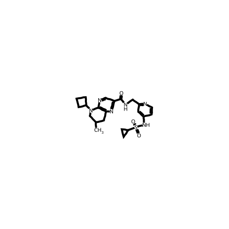 CC1Cc2nc(C(=O)NCc3cc(NS(=O)(=O)C4CC4)ccn3)cnc2N(C2CCC2)C1